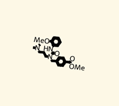 COC(=O)c1ccc(CN(CCCN(C)C)C(=O)Nc2ccccc2OC)cc1